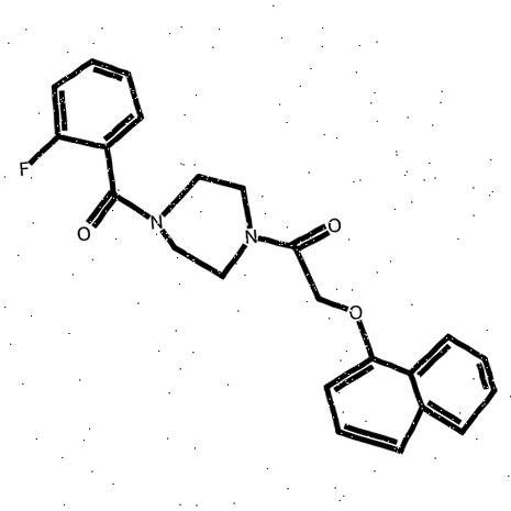 O=C(COc1cccc2ccccc12)N1CCN(C(=O)c2ccccc2F)CC1